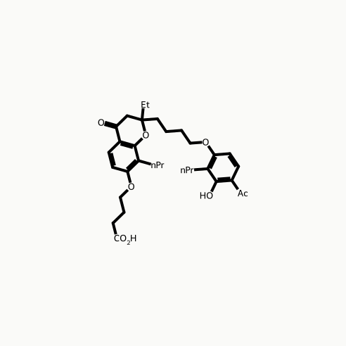 CCCc1c(OCCCCC2(CC)CC(=O)c3ccc(OCCCC(=O)O)c(CCC)c3O2)ccc(C(C)=O)c1O